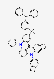 CC1(C)c2cc(C(c3ccccc3)c3ccccc3)ccc2-c2cc3c(cc21)B1c2cc4c(cc2N(c2ccc5c(c2)CC5)c2cccc(c21)N3c1ccccc1)CC4